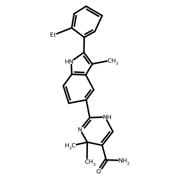 CCc1ccccc1-c1[nH]c2ccc(C3=NC(C)(C)C(C(N)=O)=CN3)cc2c1C